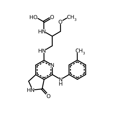 COCC(CNc1cc2c(c(Nc3cccc(C)c3)n1)C(=O)NC2)NC(=O)O